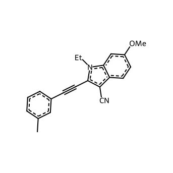 CCn1c(C#Cc2cccc(C)c2)c(C#N)c2ccc(OC)cc21